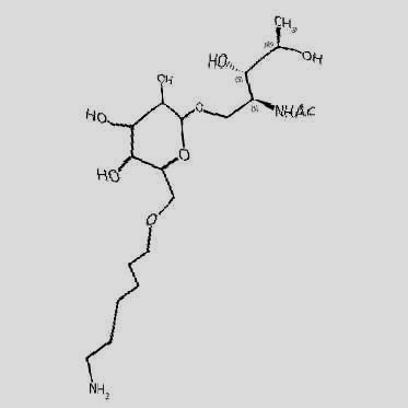 CC(=O)N[C@@H](COC1OC(COCCCCCCN)C(O)C(O)C1O)[C@H](O)[C@@H](C)O